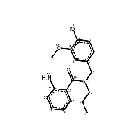 CCCN(Cc1ccc(O)c(OC)c1)C(=O)c1ccccc1N